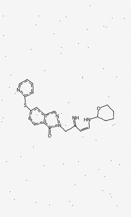 N=C(/C=C\NC1CCCCO1)Cn1ncc2cc(Sc3ccccn3)ccc2c1=O